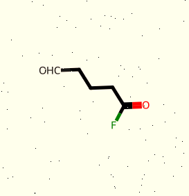 O=CCCCC(=O)F